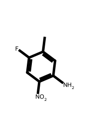 Cc1cc(N)c([N+](=O)[O-])cc1F